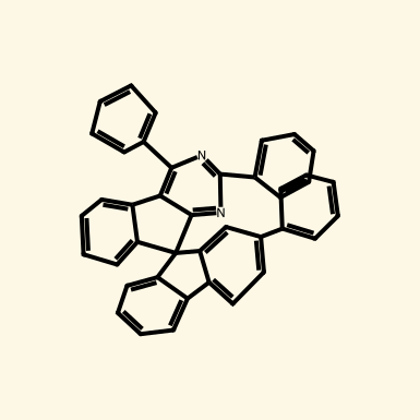 c1ccc(-c2ccc3c(c2)C2(c4ccccc4-3)c3ccccc3-c3c(-c4ccccc4)nc(-c4ccccc4)nc32)cc1